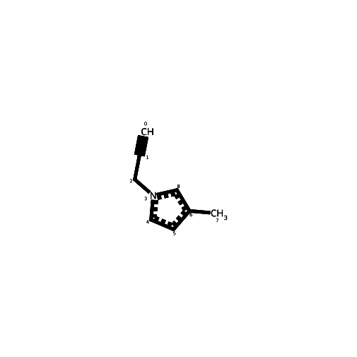 C#CCn1ccc(C)c1